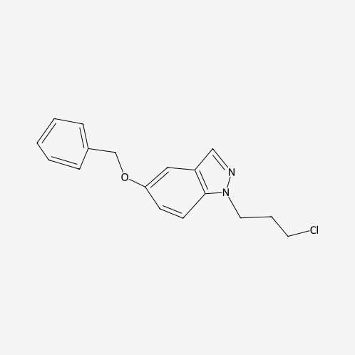 ClCCCn1ncc2cc(OCc3ccccc3)ccc21